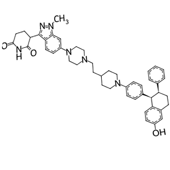 Cn1nc(C2CCC(=O)NC2=O)c2ccc(N3CCN(CCC4CCN(c5ccc([C@@H]6c7ccc(O)cc7CC[C@@H]6c6ccccc6)cc5)CC4)CC3)cc21